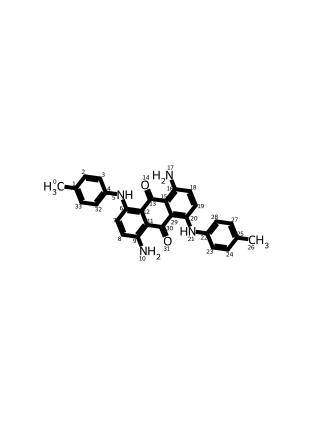 Cc1ccc(Nc2ccc(N)c3c2C(=O)c2c(N)ccc(Nc4ccc(C)cc4)c2C3=O)cc1